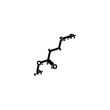 CC(C)OC(=O)CCSC(C)C